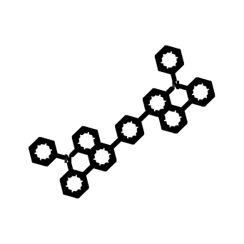 c1ccc(N2c3ccccc3-c3ccc(-c4ccc(-c5ccc6c7c(cccc57)-c5ccccc5N6c5ccccc5)cc4)c4cccc2c34)cc1